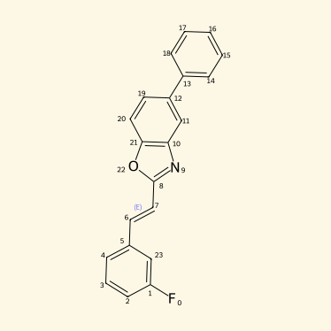 Fc1cccc(/C=C/c2nc3cc(-c4ccccc4)ccc3o2)c1